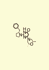 C[C@@H]1CN(c2cc(=O)[nH]c(N3CCC[C@H]3Cc3ccccc3)n2)C[C@@H](C)O1